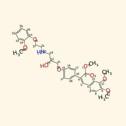 COC(=O)C(=Cc1ccc(OC)c(OC)c1)c1ccc(OCC(O)CNCCOc2ccccc2OC)cc1